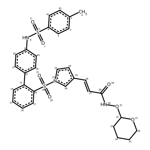 Cc1ccc(S(=O)(=O)Nc2ccc(-c3ccccc3S(=O)(=O)n3ccc(/C=C/C(=O)NOC4CCCCO4)c3)cc2)cc1